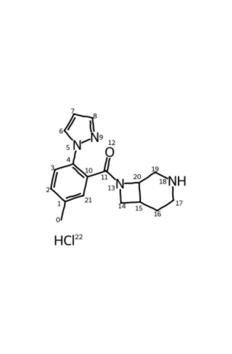 Cc1ccc(-n2cccn2)c(C(=O)N2CC3CCNCC32)c1.Cl